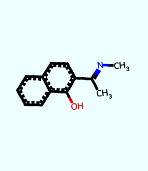 C/N=C(\C)c1ccc2ccccc2c1O